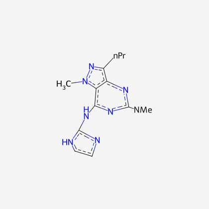 CCCc1nn(C)c2c(Nc3ncc[nH]3)nc(NC)nc12